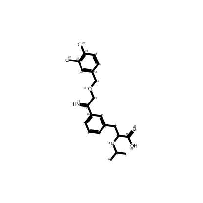 CC(C)OC(Cc1cccc(C(=N)COCc2ccc(Cl)c(Cl)c2)c1)C(=O)O